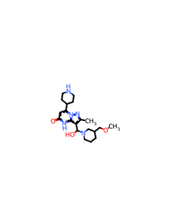 COCC1CCCN(C(O)c2c(C)nn3c(C4CCNCC4)cc(=O)[nH]c23)C1